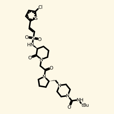 CC(C)(C)NC(=O)N1CCN(C[C@@H]2CCCN2C(=O)CN2CCC[C@H](NS(=O)(=O)/C=C/c3ccc(Cl)s3)C2=O)CC1